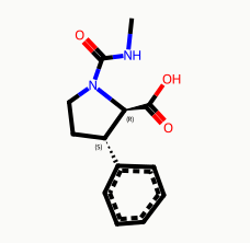 CNC(=O)N1CC[C@@H](c2ccccc2)[C@@H]1C(=O)O